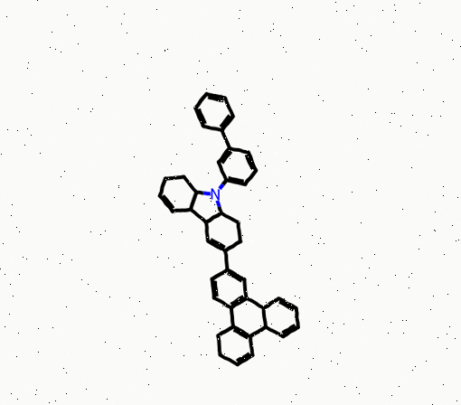 C1=CC2C3=C(CCC=C3)c3ccc(C4=CC5C6C=CCCC6N(c6cccc(-c7ccccc7)c6)C5CC4)cc3C2C=C1